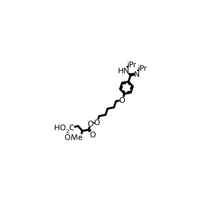 COC(CC(=O)O)C(=O)OOCCCCCOc1ccc(C(=NC(C)C)NC(C)C)cc1